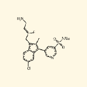 CNS(=O)(=O)c1cncc(-c2c(C)n(CC(F)=CCN)c3ccc(Cl)cc23)c1